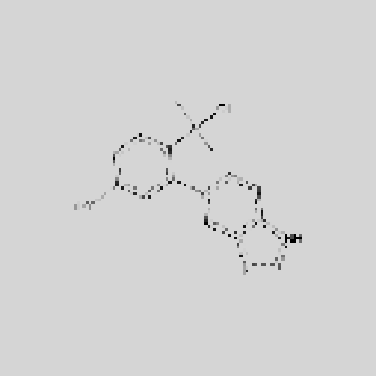 CCCc1ccc(C(C)(C)O)c(-c2ccc3[nH]cnc3c2)c1